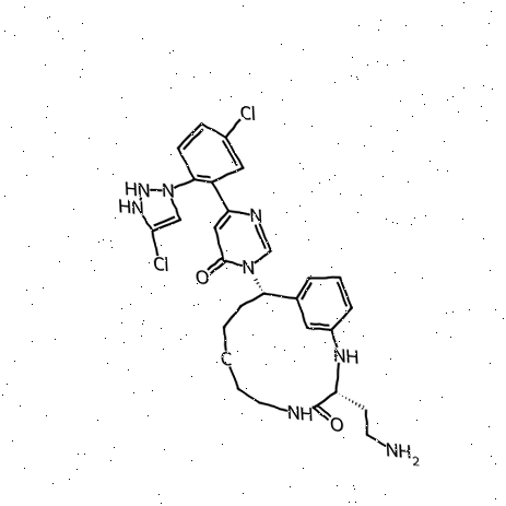 NCC[C@H]1Nc2cccc(c2)[C@@H](n2cnc(-c3cc(Cl)ccc3N3C=C(Cl)NN3)cc2=O)CCCCCNC1=O